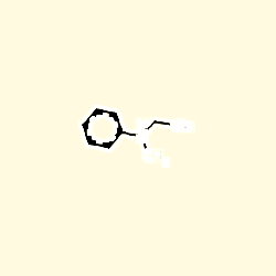 C[SiH](CC(C)(C)C)c1ccccc1